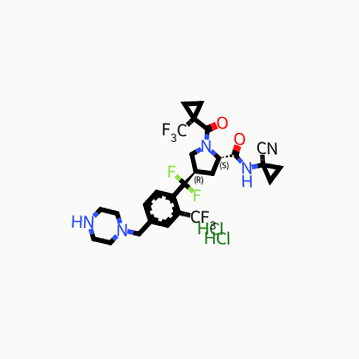 Cl.Cl.N#CC1(NC(=O)[C@@H]2C[C@@H](C(F)(F)c3ccc(CN4CCNCC4)cc3C(F)(F)F)CN2C(=O)C2(C(F)(F)F)CC2)CC1